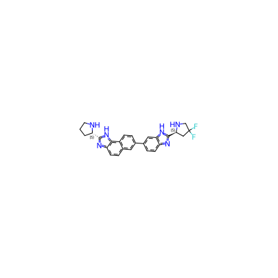 FC1(F)CN[C@H](c2nc3ccc(-c4ccc5c(ccc6nc([C@@H]7CCCN7)[nH]c65)c4)cc3[nH]2)C1